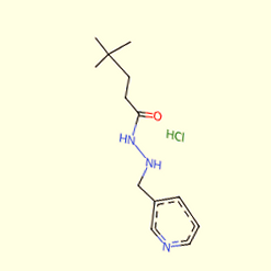 CC(C)(C)CCC(=O)NNCc1cccnc1.Cl